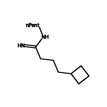 CCCCCNC(=N)CCCC1CCC1